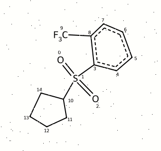 O=S(=O)(c1cc[c]cc1C(F)(F)F)C1CCCC1